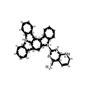 Cc1nc(-n2c3ccccc3c3c4c5ccccc5n5c6ccccc6c(cc32)c45)nc2c1C=CCN2